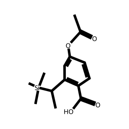 CC(=O)Oc1ccc(C(=O)O)c(C(C)[Si](C)(C)C)c1